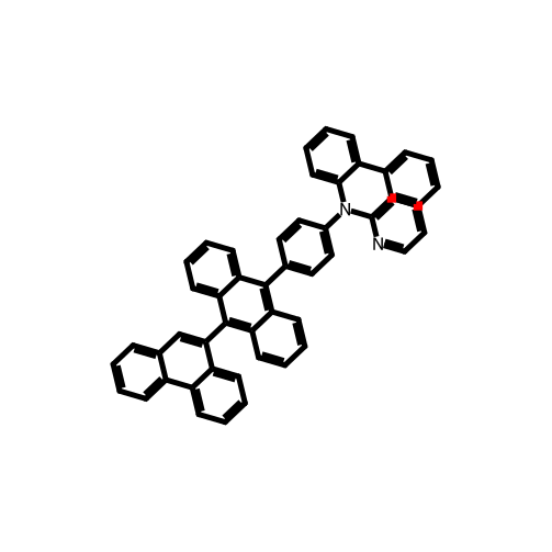 c1ccc(-c2ccccc2N(c2ccc(-c3c4ccccc4c(-c4cc5ccccc5c5ccccc45)c4ccccc34)cc2)c2ccccn2)cc1